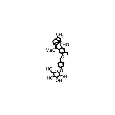 COC(=C1C2CC3CC1CC(C2)C3C)c1cc(OCc2ccc(O[C@@H]3OC(CO)[C@H](O)C(O)C3O)cc2)c(I)cc1C=O